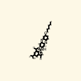 CCCCCCOc1ccc2nc3cc(NS(=O)(=O)c4c(C(C)C)cc(C(C)C)cc4C(C)C)ccc3nc2c1